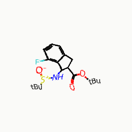 CC(C)(C)OC(=O)C1Cc2cccc(F)c2C1N[S+]([O-])C(C)(C)C